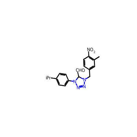 Cc1cc(CN2N=NN(c3ccc(C(C)C)cc3)C2C=O)ccc1[N+](=O)[O-]